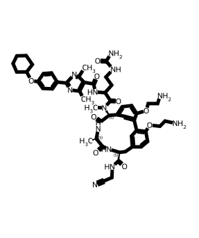 Cc1nc(-c2ccc(OC3CCCCC3)cc2)nc(C)c1C(=O)NC(CCNC(N)=O)C(=O)N(C)[C@@H]1C(=O)N[C@@H](C)C(=O)N[C@H](C(=O)NCC#N)Cc2ccc(OCCN)c(c2)-c2cc1ccc2OCCN